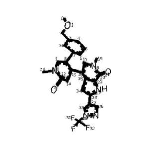 COCc1cccc(-c2cn(C)c(=O)cc2-c2cn(C)c(=O)c3[nH]c(-c4cnn(C(F)(F)F)c4)cc23)c1